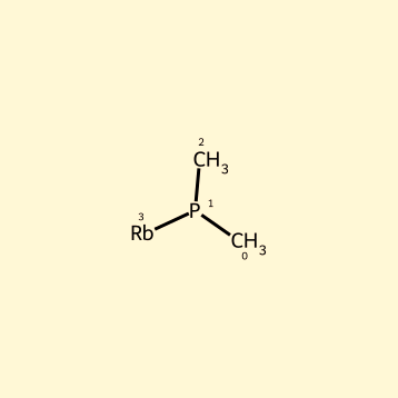 C[P](C)[Rb]